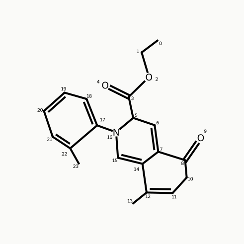 CCOC(=O)C1C=C2C(=O)CC=C(C)C2=CN1c1ccccc1C